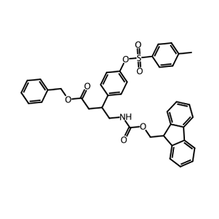 Cc1ccc(S(=O)(=O)Oc2ccc(C(CNC(=O)OCC3c4ccccc4-c4ccccc43)CC(=O)OCc3ccccc3)cc2)cc1